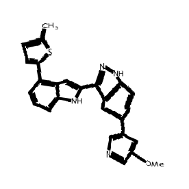 COc1cncc(-c2ccc3[nH]nc(-c4cc5c(-c6ccc(C)s6)cccc5[nH]4)c3c2)c1